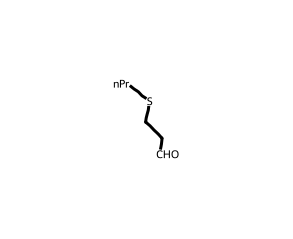 [CH2]CCSCCC=O